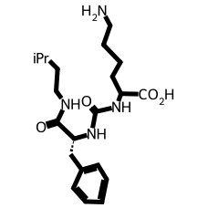 CC(C)CCNC(=O)[C@@H](Cc1ccccc1)NC(=O)NC(CCCCN)C(=O)O